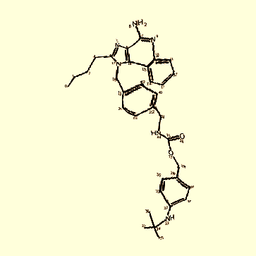 CCCCc1nc2c(N)nc3ccccc3c2n1Cc1ccc(CNC(=O)OCc2ccc(NC(C)(C)C)cc2)cc1